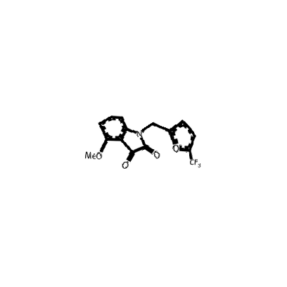 COc1cccc2c1C(=O)C(=O)N2Cc1ccc(C(F)(F)F)o1